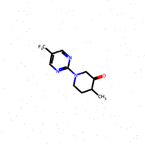 CC1CCN(c2ncc(C(F)(F)F)cn2)CC1=O